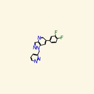 Fc1ccc(-c2cnc3cnn(Cc4cccnn4)c3c2)cc1F